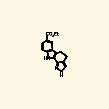 CCOC(=O)c1ccc2[nH]c3c(c2c1)CCc1c[nH]nc1-3